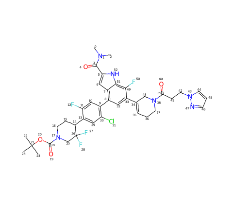 CN(C)C(=O)c1cc2c(-c3cc(F)c(C4CCN(C(=O)OC(C)(C)C)CC4(F)F)cc3Cl)cc(C3=CCCN(C(=O)CCn4cccn4)C3)c(F)c2[nH]1